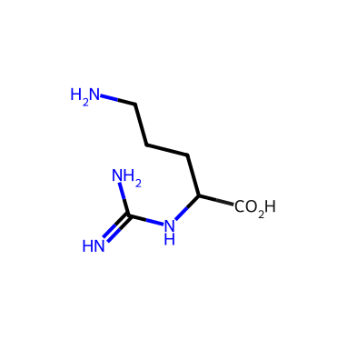 N=C(N)NC(CCCN)C(=O)O